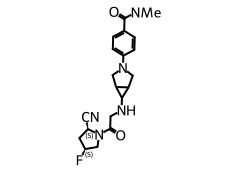 CNC(=O)c1ccc(N2CC3C(C2)C3NCC(=O)N2C[C@@H](F)C[C@H]2C#N)cc1